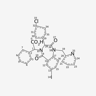 O=C(O)C(c1ccccc1)N1C(=O)c2cc(I)ccc2N(Cc2ccccn2)C(=O)C1c1ccc(Cl)cc1